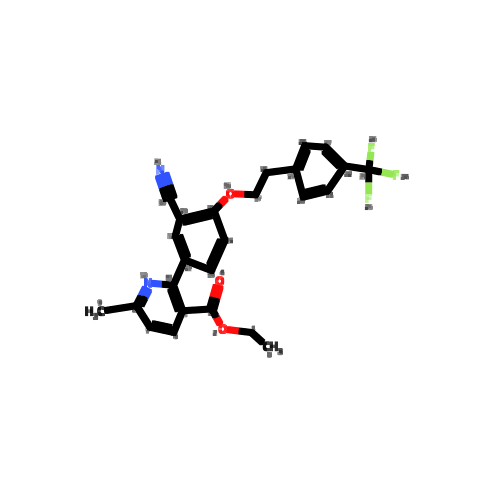 CCOC(=O)c1ccc(C)nc1-c1ccc(OCCc2ccc(C(F)(F)F)cc2)c(C#N)c1